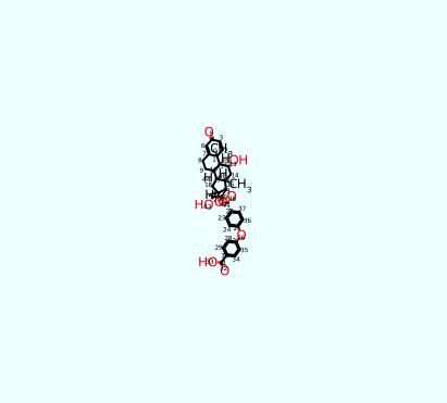 C[C@]12C=CC(=O)C=C1CC[C@@H]1[C@@H]2[C@@H](O)C[C@@]2(C)[C@H]1C[C@H]1O[C@@H](c3ccc(Oc4ccc(C(=O)O)cc4)cc3)O[C@]12C(=O)CO